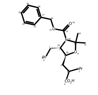 CC(C)C[C@H]1[C@H](CC(C(=O)O)C(C)C)OC(C)(C)N1C(=O)OCc1ccccc1